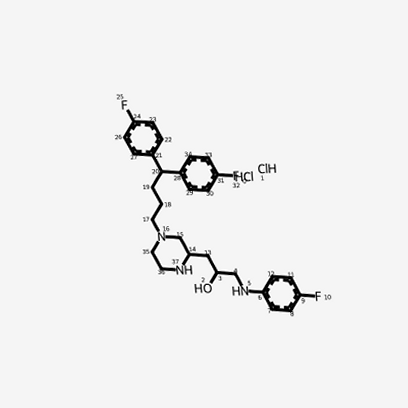 Cl.Cl.OC(CNc1ccc(F)cc1)CC1CN(CCCC(c2ccc(F)cc2)c2ccc(F)cc2)CCN1